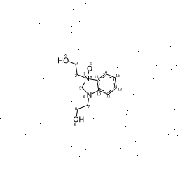 [O-][N+]1(CCO)CN(CCO)c2ccccc21